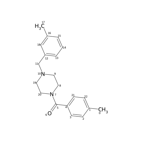 Cc1ccc(C(=O)N2CCN(Cc3cccc(C)c3)CC2)cc1